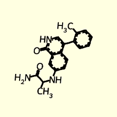 Cc1ccccc1-c1c[nH]c(=O)c2cc(NC(C)C(N)=O)ccc12